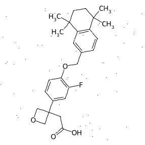 CC1(C)CCC(C)(C)c2cc(COc3ccc(C4(CC(=O)O)COC4)cc3F)ccc21